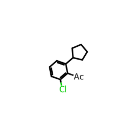 CC(=O)c1c(Cl)cccc1C1CCCC1